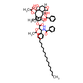 CCCCCCCCCCCCCCCCCCOC(C)O[C@@H](C(=O)O[C@H]1C[C@@]2(O)[C@@H](OC(=O)c3ccccc3)[C@@H]3[C@]4(O)CO[C@@H]4C[C@H](O)[C@@]3(C)C(=O)[C@H](OC(C)=O)C(=C1C)C2(C)C)[C@@H](NC(=O)c1ccccc1)c1ccccc1